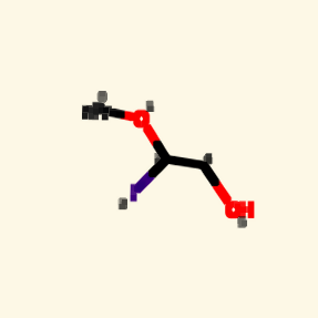 CCCOC(I)CO